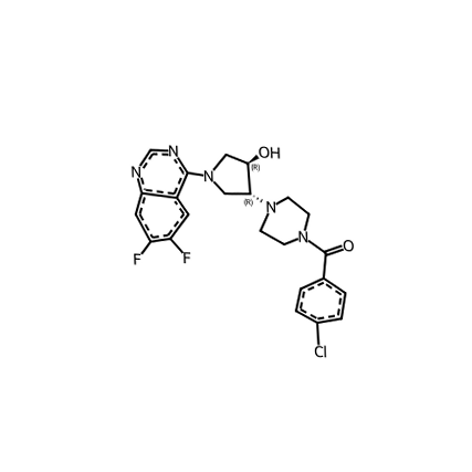 O=C(c1ccc(Cl)cc1)N1CCN([C@@H]2CN(c3ncnc4cc(F)c(F)cc34)C[C@H]2O)CC1